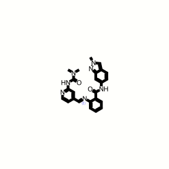 CN(C)C(=O)Nc1cc(/C=N/c2ccccc2C(=O)Nc2ccc3cn(C)nc3c2)ccn1